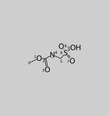 COC(=O)[N]CS(=O)(=O)O